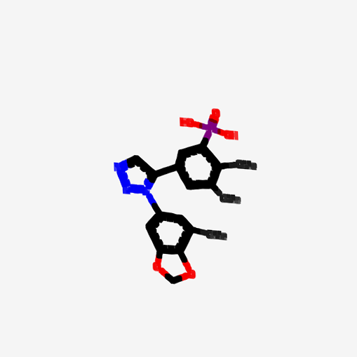 COc1cc(-n2nncc2-c2cc(OC)c(OC)c(P(=O)(O)O)c2)cc2c1OCO2